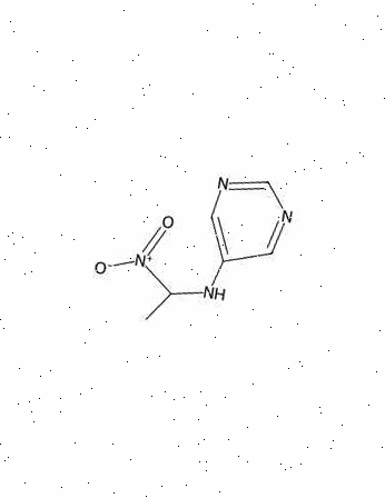 CC(Nc1cncnc1)[N+](=O)[O-]